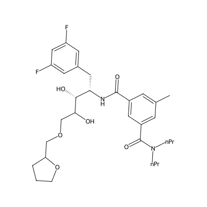 CCCN(CCC)C(=O)c1cc(C)cc(C(=O)N[C@@H](Cc2cc(F)cc(F)c2)[C@@H](O)C(O)COCC2CCCO2)c1